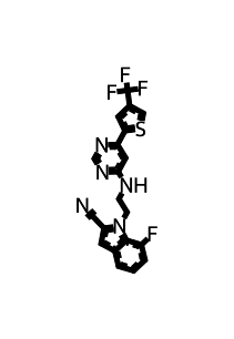 N#Cc1cc2cccc(F)c2n1CCNc1cc(-c2cc(C(F)(F)F)cs2)ncn1